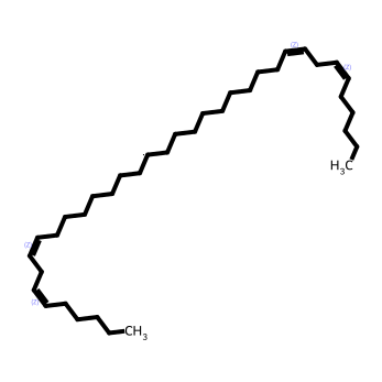 CCCCC/C=C\C/C=C\CCCCCCC[CH]CCCCCCCCC/C=C\C/C=C\CCCCC